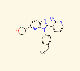 CC(=O)OCc1ccc(-n2c(-c3cccnc3N)nc3ccc(C4CCOC4)nc32)cc1